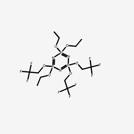 CCOP1(OCC)=NP(OCC(F)(F)F)(OCC(F)(F)F)=NP(OCC)(OCC(F)(F)F)=N1